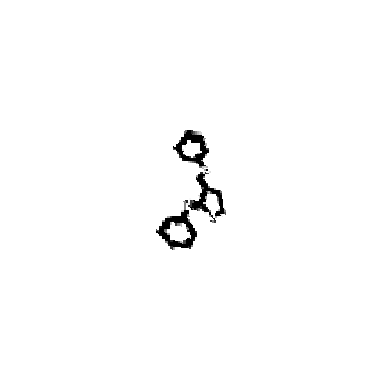 C(Sc1ccccc1)=C1CCSC1=Nc1ccccc1